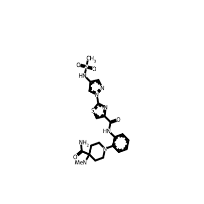 CNC1(C(N)=O)CCN(c2ccccc2NC(=O)c2csc(-n3cc(NS(C)(=O)=O)cn3)n2)CC1